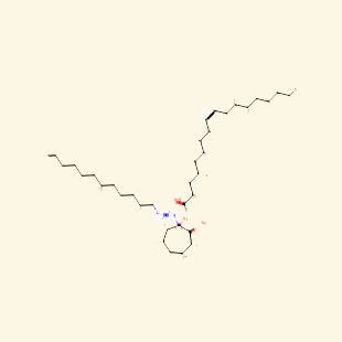 CCCCCCCC/C=C\CCCCCCCC(=O)OC1(N=NCCCCCCCCCCCC)CCCCCC1=O